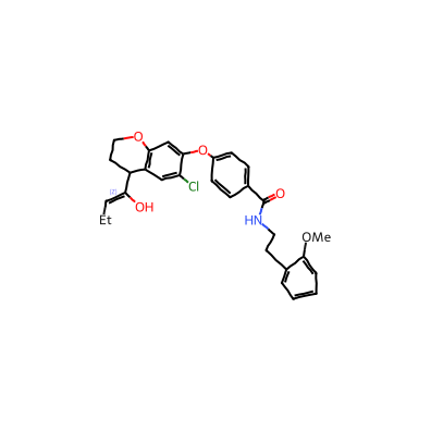 CC/C=C(\O)C1CCOc2cc(Oc3ccc(C(=O)NCCc4ccccc4OC)cc3)c(Cl)cc21